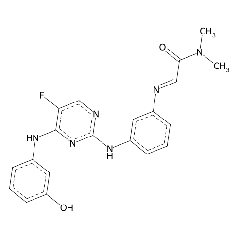 CN(C)C(=O)C=Nc1cccc(Nc2ncc(F)c(Nc3cccc(O)c3)n2)c1